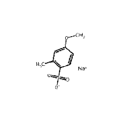 COc1ccc(S(=O)(=O)[O-])c(C)c1.[Na+]